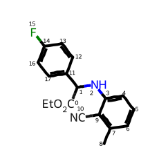 CCOC(=O)C(Nc1cccc(C)c1C#N)c1ccc(F)cc1